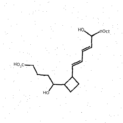 CCCCCCCCC(O)/C=C/C=C/C1CCC1C(O)CCCC(=O)O